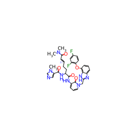 CN(C)C(=O)/C=C/CCC(NC(=O)c1cncn1C)C(=O)Nc1cccn(Cc2nc3cccc(Oc4ccc(F)cc4F)c3[nH]2)c1=O